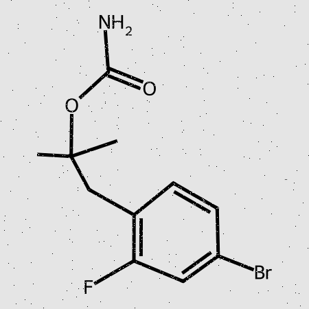 CC(C)(Cc1ccc(Br)cc1F)OC(N)=O